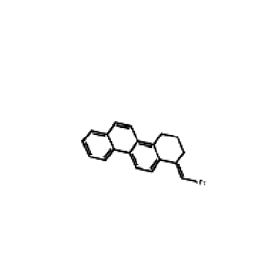 CCCC=C1CCCc2c1ccc1c2ccc2ccccc21